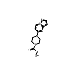 CC(C)OC(=O)N1CCN(c2ccn3nccc3n2)CC1